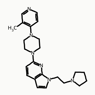 Cc1cnccc1N1CCN(c2ccc3ccn(CCN4CCCC4)c3n2)CC1